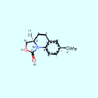 COc1ccc2c(c1)CC[C@@H]1COC(=O)N21